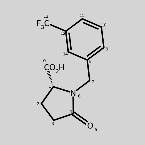 O=C(O)[C@H]1CCC(=O)N1Cc1cccc(C(F)(F)F)c1